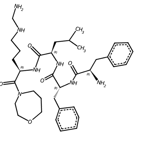 CC(C)C[C@@H](NC(=O)[C@@H](Cc1ccccc1)NC(=O)[C@H](N)Cc1ccccc1)C(=O)N[C@H](CCCNCN)C(=O)N1CCCOCC1